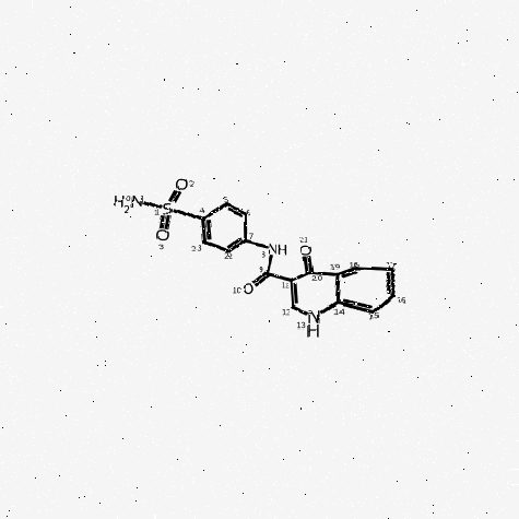 NS(=O)(=O)c1ccc(NC(=O)c2c[nH]c3ccccc3c2=O)cc1